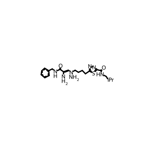 CC(C)CNC(=O)c1nnc(CCCCN(N)/C=C(\N)C(=O)NCc2ccccc2)s1